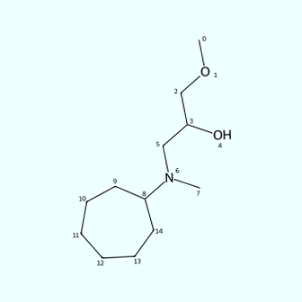 COCC(O)CN(C)C1CCCCCC1